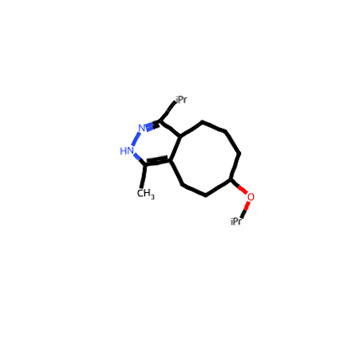 CC1=C2CCC(OC(C)C)CCCC2C(C(C)C)=NN1